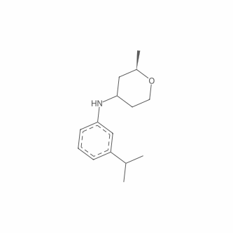 CC(C)c1cccc(NC2CCO[C@H](C)C2)c1